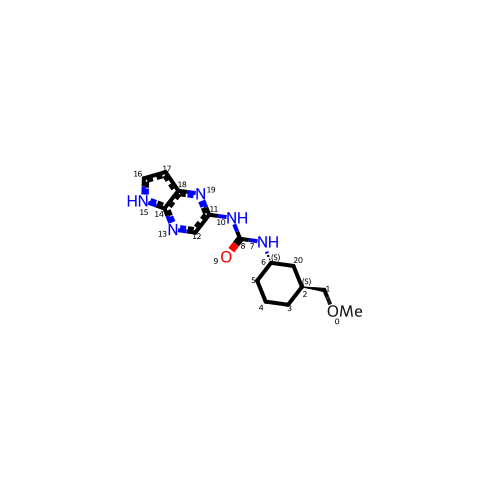 COC[C@H]1CCC[C@H](NC(=O)Nc2cnc3[nH]ccc3n2)C1